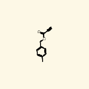 C#CC(=O)OCc1ccc(C)cc1